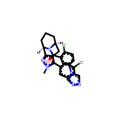 Cn1nc2c(c1-c1cccc(Cl)c1)C[C@@H]1CCC[C@H]2N1C(=O)c1cc(-n2cnnc2)ccc1Cl